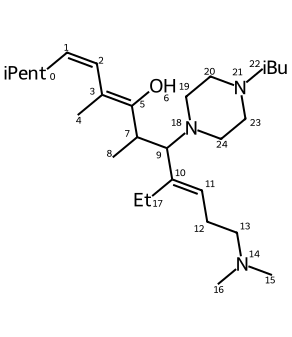 CCCC(C)/C=C\C(C)=C(/O)C(C)C(C(=CCCN(C)C)CC)N1CCN(C(C)CC)CC1